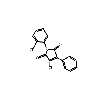 O=C1C(Cl)=C(c2ccccc2)C(=O)N1c1ccccc1Cl